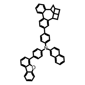 c1ccc2c(c1)-c1ccc(-c3ccc(N(c4ccc(-c5cccc6c5oc5ccccc56)cc4)c4ccc5ccccc5c4)cc3)cc1C1CC3CC4CC2C431